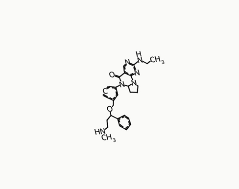 CCNc1ncc2c(n1)N1CCCC1N(c1cccc(COC(CCNC)c3ccccc3)c1)C2=O